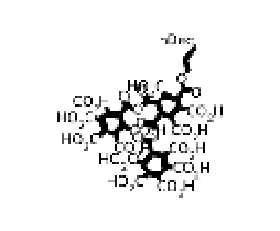 CCCCCCCCCCCCCOC(=O)c1c(C(=O)O)c(C(=O)O)c(C(=O)OC(=O)c2c(C(=O)O)c(C(=O)O)c(C(=O)O)c(C(=O)O)c2C(=O)O)c(C(=O)OC(=O)c2c(C(=O)O)c(C(=O)O)c(C(=O)O)c(C(=O)O)c2C(=O)O)c1C(=O)O